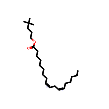 CCCCC/C=C\C/C=C\CCCCCCCC(=O)OCCCC(C)(C)C